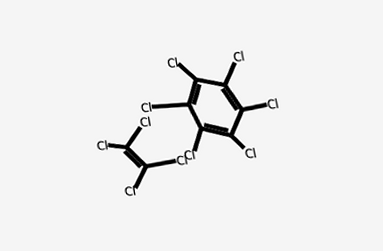 ClC(Cl)=C(Cl)Cl.Clc1c(Cl)c(Cl)c(Cl)c(Cl)c1Cl